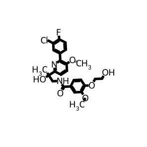 COc1cc(C(=O)NCC(C)(O)c2ccc(OC)c(-c3ccc(F)c(Cl)c3)n2)ccc1OCCO